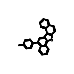 Cc1ccc(-c2cc3c(sc4ccc5ccccc5c43)c3ccccc23)cc1